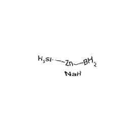 [BH2][Zn][SiH3].[NaH]